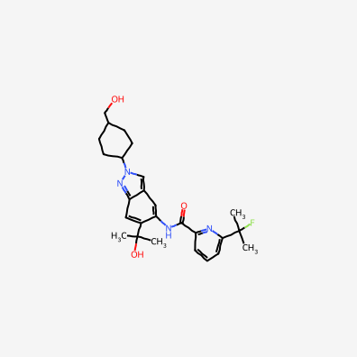 CC(C)(O)c1cc2nn(C3CCC(CO)CC3)cc2cc1NC(=O)c1cccc(C(C)(C)F)n1